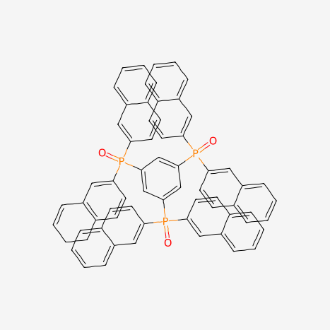 O=P(c1cc(P(=O)(c2ccc3ccccc3c2)c2ccc3ccccc3c2)cc(P(=O)(c2ccc3ccccc3c2)c2ccc3ccccc3c2)c1)(c1ccc2c(c1)C=CCC2)c1ccc2ccccc2c1